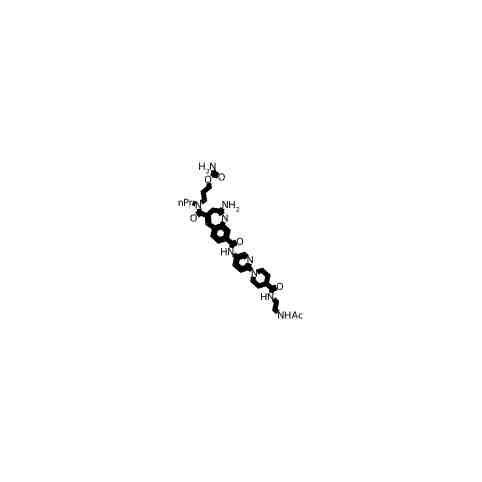 CCCN(CCCOC(N)=O)C(=O)C1=Cc2ccc(C(=O)Nc3ccc(N4CCC(C(=O)NCCNC(C)=O)CC4)nc3)cc2N=C(N)C1